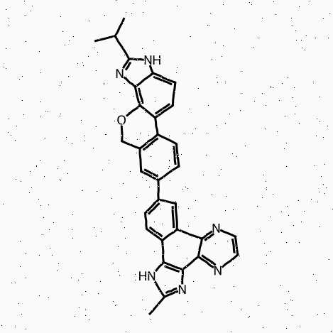 Cc1nc2c3nccnc3c3cc(-c4ccc5c(c4)COc4c-5ccc5[nH]c(C(C)C)nc45)ccc3c2[nH]1